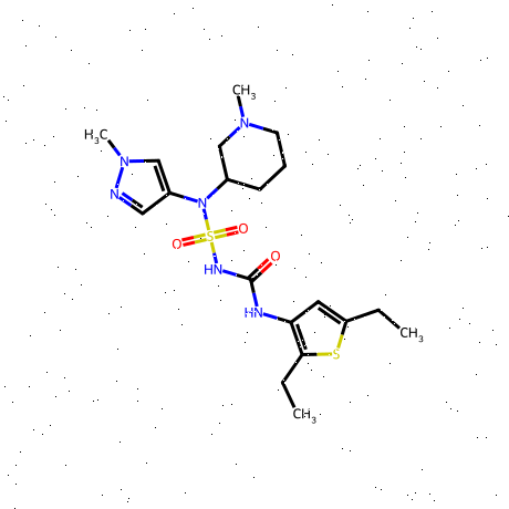 CCc1cc(NC(=O)NS(=O)(=O)N(c2cnn(C)c2)C2CCCN(C)C2)c(CC)s1